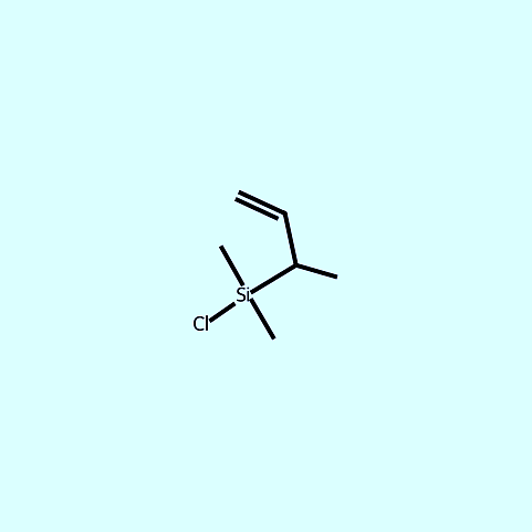 C=CC(C)[Si](C)(C)Cl